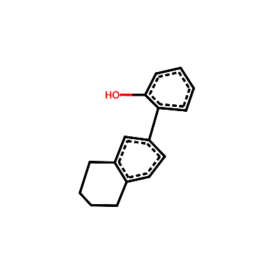 Oc1ccccc1-c1ccc2c(c1)CCCC2